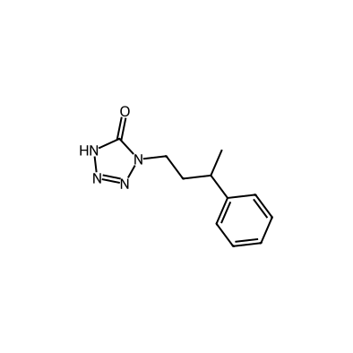 CC(CCn1nn[nH]c1=O)c1ccccc1